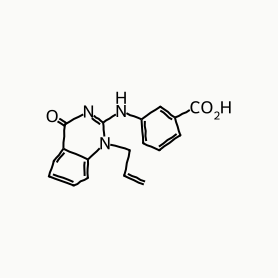 C=CCn1c(Nc2cccc(C(=O)O)c2)nc(=O)c2ccccc21